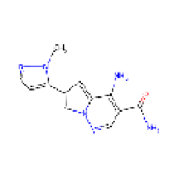 Cn1nccc1-c1cc2c(N)c(C(N)=O)cnn2c1